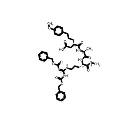 CNC(=O)[C@H](CCCN/C(=N\C(=O)OCc1ccccc1)NC(=O)OCc1ccccc1)NC(=O)[C@H](C)NC(=O)[C@H](CCCc1ccc(OC)cc1)CC(=O)O